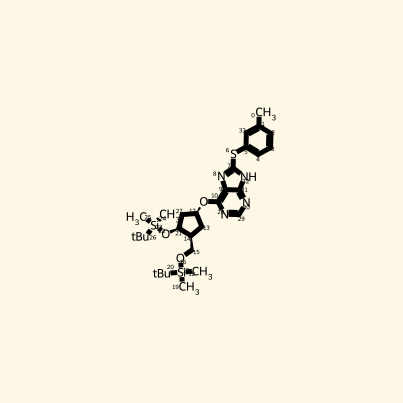 Cc1cccc(Sc2nc3c(O[C@@H]4C[C@@H](CO[Si](C)(C)C(C)(C)C)[C@@H](O[Si](C)(C)C(C)(C)C)C4)ncnc3[nH]2)c1